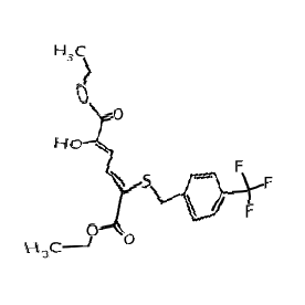 CCOC(=O)/C(O)=C/C=C(\SCc1ccc(C(F)(F)F)cc1)C(=O)OCC